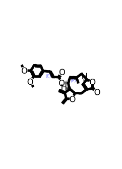 C=C1OC2CC3=C[C@@H](C/C(C)=C/[C@@H](OC(=O)/C=C/c4ccc(OC)c(OC)c4)[C@@H]2C1=C)OC3=O